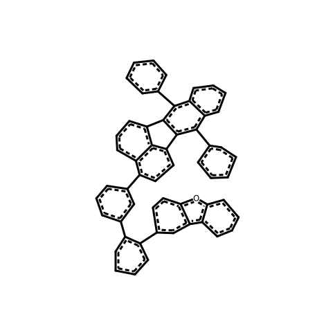 c1ccc(-c2c3c(c(-c4ccccc4)c4ccccc24)-c2ccc(-c4cccc(-c5ccccc5-c5ccc6oc7ccccc7c6c5)c4)c4cccc-3c24)cc1